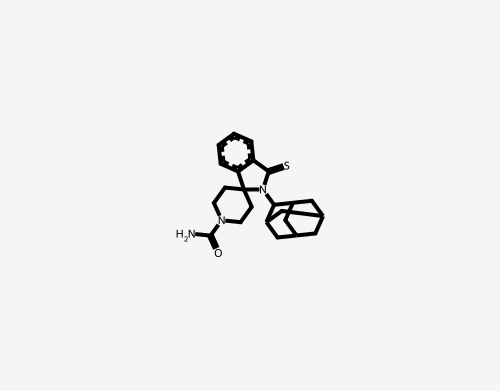 NC(=O)N1CCC2(CC1)c1ccccc1C(=S)N2C1C2CC3CC(C2)CC1C3